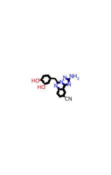 N#Cc1ccc2nc(Cc3ccc(O)c(O)c3)n3nc(N)nc3c2c1